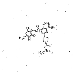 Cc1cc(C)c(CNC(=O)c2cc(C3CCN(C(=O)CN(C)C)CC3)nc(NC(C)C)c2C=N)c(=O)[nH]1